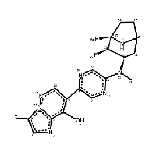 Cc1cnc2c(O)c(-c3cnc(N(C)[C@@H]4CC5CC[C@H](N5)[C@@H]4F)cn3)cnn12